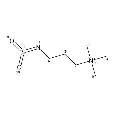 C[N+](C)(C)CCCN=S(=O)=O